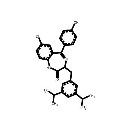 CC(C)c1cc(CC2N=C(c3ccc(O)cc3)c3cc(Cl)ccc3NC2=O)cc(C(C)C)c1